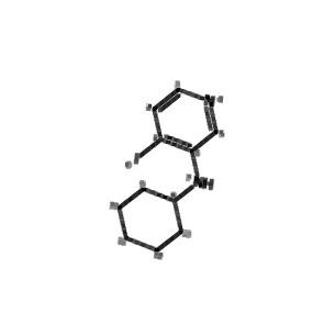 Ic1ccncc1NC1CCCCC1